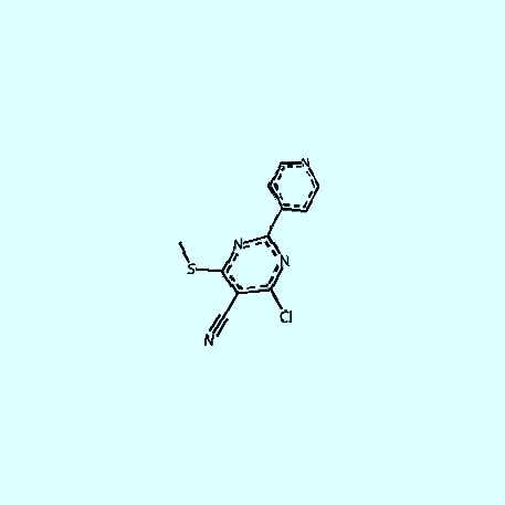 CSc1nc(-c2ccncc2)nc(Cl)c1C#N